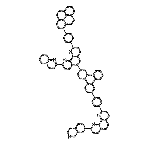 c1ccc2nc(-c3ccc4c(-c5ccc6c7ccc(-c8ccc(-c9ccc%10ccc%11ccc(-c%12ccc%13ccncc%13c%12)nc%11c%10n9)cc8)cc7c7ccccc7c6c5)cc5ccc(-c6ccc(-c7ccc8ccc9cccc%10ccc7c8c9%10)cc6)nc5c4n3)ccc2c1